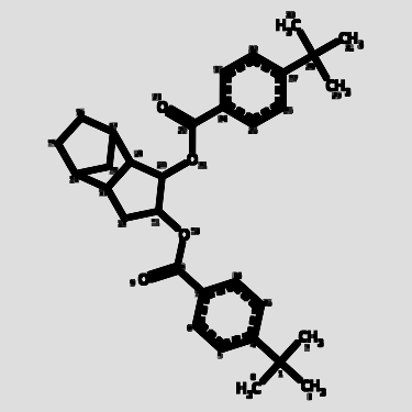 CC(C)(C)c1ccc(C(=O)OC2CC3C4CCC(C4)C3C2OC(=O)c2ccc(C(C)(C)C)cc2)cc1